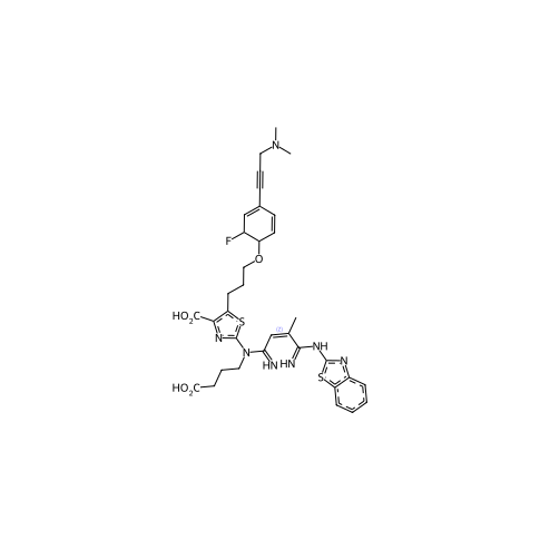 C/C(=C/C(=N)N(CCCC(=O)O)c1nc(C(=O)O)c(CCCOC2C=CC(C#CCN(C)C)=CC2F)s1)C(=N)Nc1nc2ccccc2s1